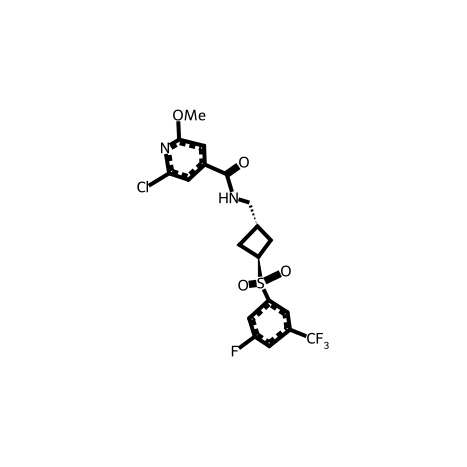 COc1cc(C(=O)NC[C@H]2C[C@H](S(=O)(=O)c3cc(F)cc(C(F)(F)F)c3)C2)cc(Cl)n1